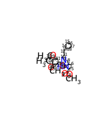 COC(=O)c1ccc(CN(CCCc2ccccc2)C(=O)c2cc(OC)c(C)c(OC)c2)[nH]1